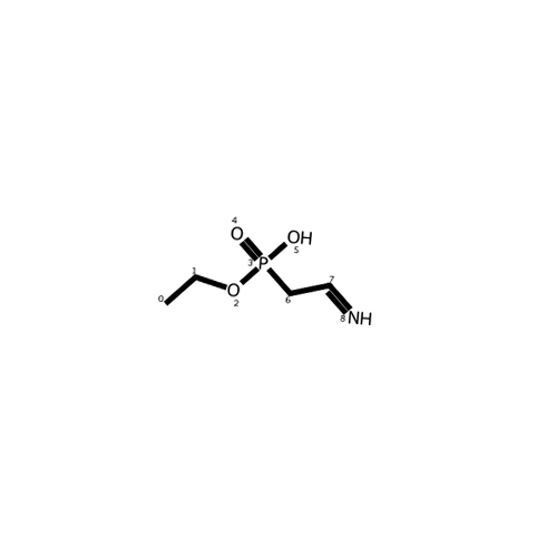 CCOP(=O)(O)CC=N